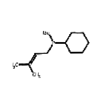 CC(C)=CCP(C1CCCCC1)C(C)(C)C